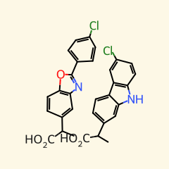 CC(C(=O)O)c1ccc2c(c1)[nH]c1ccc(Cl)cc12.CC(C(=O)O)c1ccc2oc(-c3ccc(Cl)cc3)nc2c1